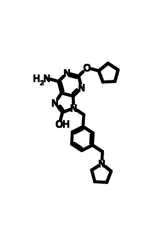 Nc1nc(OC2CCCC2)nc2c1nc(O)n2Cc1cccc(CN2CCCC2)c1